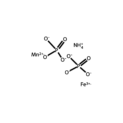 O=P([O-])([O-])[O-].O=P([O-])([O-])[O-].[Fe+3].[Mn+2].[NH4+]